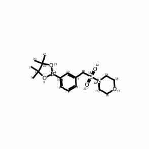 CC1(C)OB(c2cccc(CS(=O)(=O)N3CCOCC3)c2)OC1(C)C